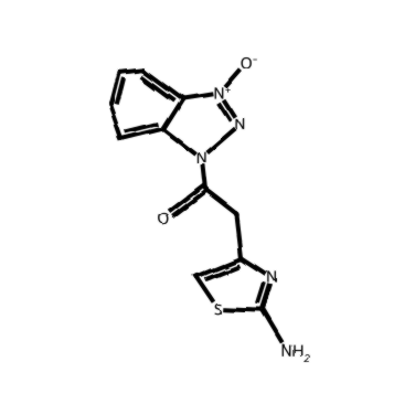 Nc1nc(CC(=O)n2n[n+]([O-])c3ccccc32)cs1